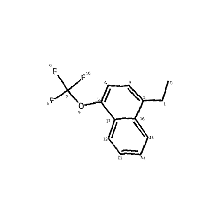 CCc1ccc(OC(F)(F)F)c2ccccc12